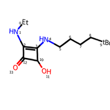 CCNC1=C(NCCCCC(C)(C)C)C(O)C1=O